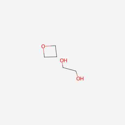 C1COC1.OCCO